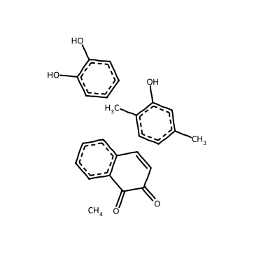 C.Cc1ccc(C)c(O)c1.O=C1C=Cc2ccccc2C1=O.Oc1ccccc1O